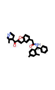 Cc1ccc([C@@H](NC(=O)Cc2ccc3oc(C(=O)c4ccncc4C)cc3c2)c2ccccc2)c(C)c1